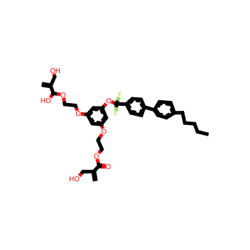 C=C(CO)C(=O)OCCOc1cc(OCCOC(O)C(=C)CO)cc(OC(F)(F)c2ccc(-c3ccc(CCCCC)cc3)cc2)c1